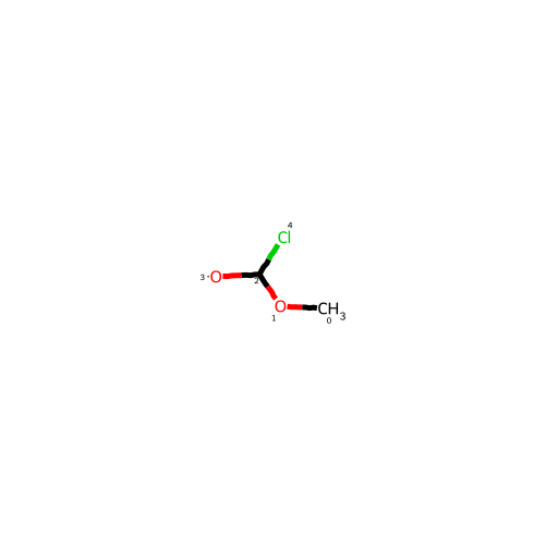 COC([O])Cl